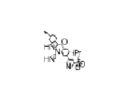 C#Cc1ccc2c(c1)[nH]c1c2c(=O)c2cc(C(C)C)c(-c3cncc(S(=O)(=O)F)c3)cc2n1C1CNC1